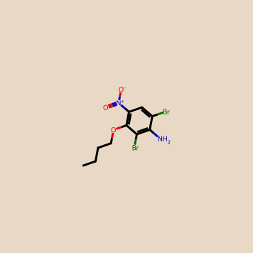 CCCCOc1c([N+](=O)[O-])cc(Br)c(N)c1Br